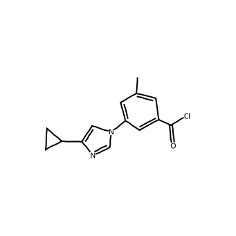 Cc1cc(C(=O)Cl)cc(-n2cnc(C3CC3)c2)c1